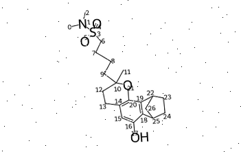 CN(C)S(=O)(=O)CCCCC1(C)CCc2cc(O)c3c(c2O1)C1CCC3C1